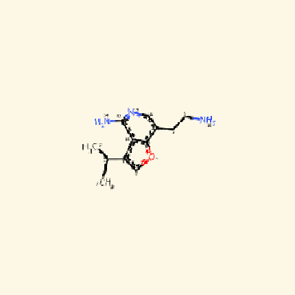 CC(C)c1coc2c(CCN)cnc(N)c12